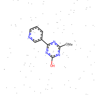 COc1nc(O)nc(-c2cccnc2)n1